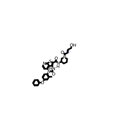 Cc1cc(Oc2ccccc2)ccc1N1C(=O)Nc2c(C(=O)NC3CCCN(C(=O)/C=C/CO)C3)sc3nccc1c23